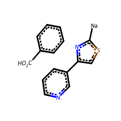 O=C(O)c1ccccc1.[Na][c]1nc(-c2cccnc2)cs1